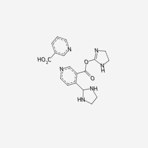 O=C(O)c1cccnc1.O=C(OC1=NCCN1)c1cnccc1C1NCCN1